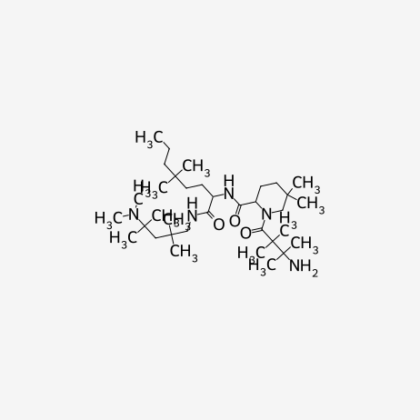 CCCC(C)(C)CCC(NC(=O)C1CCC(C)(C)CN1C(=O)C(C)(C)C(C)(C)N)C(=O)NCC(C)(C)CC(C)(C)N(C)C